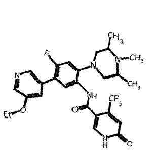 CCOc1cncc(-c2cc(NC(=O)c3c[nH]c(=O)cc3C(F)(F)F)c(N3CC(C)N(C)C(C)C3)cc2F)c1